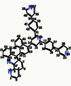 c1cnc2c(c1)ccc1c(-c3ccc(-c4cc(-c5ccc(-c6ccncc6)cc5)nc(-c5ccc(-c6ccncc6)cc5)c4)c4ccccc34)c3ccccc3nc12